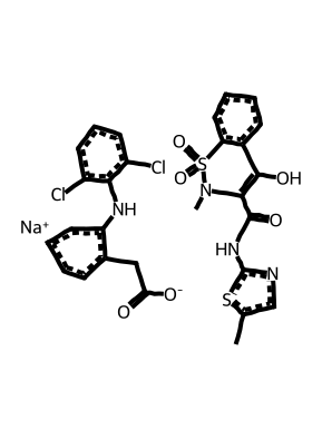 Cc1cnc(NC(=O)C2=C(O)c3ccccc3S(=O)(=O)N2C)s1.O=C([O-])Cc1ccccc1Nc1c(Cl)cccc1Cl.[Na+]